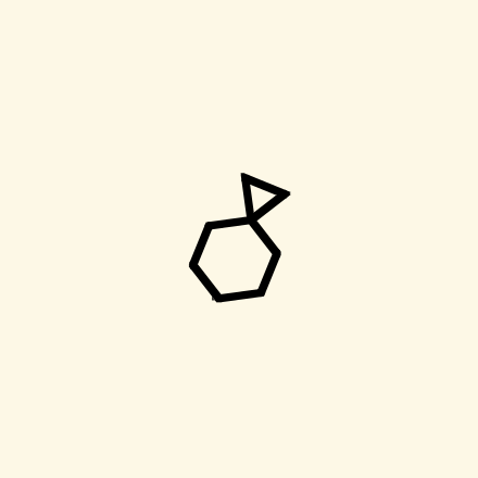 [CH]1CCC2(CC1)CC2